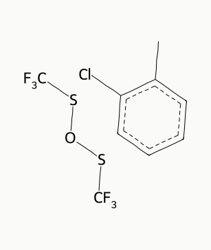 Cc1ccccc1Cl.FC(F)(F)SOSC(F)(F)F